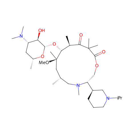 CO[C@]1(C)C[C@@H](C)CN(C)[C@@H]([C@@H]2CCCN(C(C)C)C2)COC(=O)C(C)(C)C(=O)[C@H](C)[C@H]1O[C@@H]1O[C@H](C)C[C@H](N(C)C)[C@H]1O